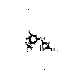 Nc1nc(Nc2cc(I)c(F)c(C(F)(F)F)c2)n[nH]1